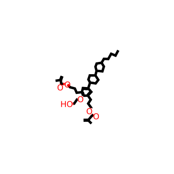 C=C(C)C(=O)OCCCc1cc(C2CCC(C3CCC(CCCCC)CC3)CC2)cc(CCCOC(=O)C(=C)C)c1OCCO